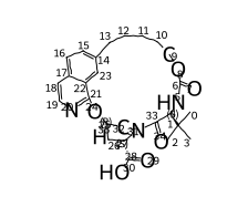 CC(C)(C)[C@@H]1NC(=O)OCCCCCc2ccc3ccnc(c3c2)O[C@@H]2C[C@@H](C(=O)O)N(C2)C1=O